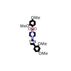 COc1ccc(-c2csc(N3CCN(S(=O)(=O)c4ccc(OC)cc4OC)CC3)n2)c(OC)c1